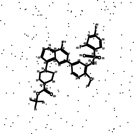 COc1ncc(-c2cc(F)c3nccc(N4CCN(C(=O)OC(C)(C)C)CC4)c3c2)cc1NS(=O)(=O)c1ccc(F)cc1F